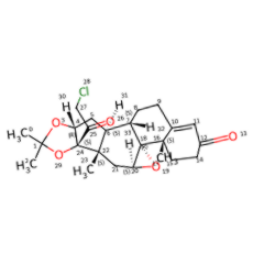 CC1(C)O[C@@H]2C[C@H]3[C@@H]4CCC5=CC(=O)CC[C@]5(C)[C@]45O[C@H]5C[C@]3(C)[C@]2(C(=O)CCl)O1